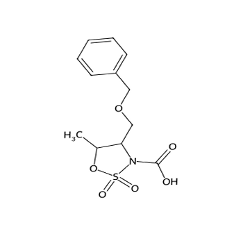 CC1OS(=O)(=O)N(C(=O)O)C1COCc1ccccc1